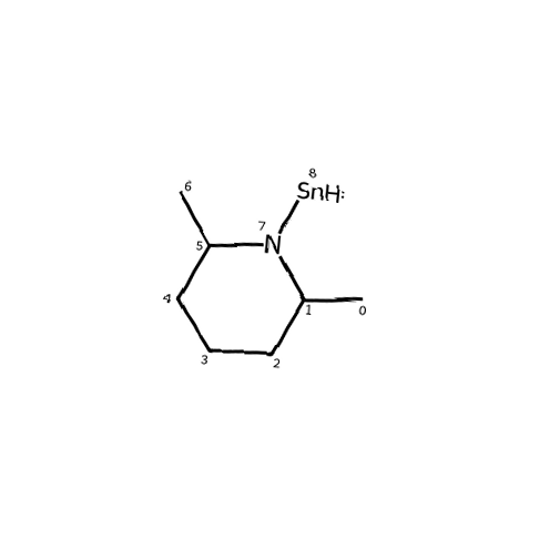 CC1CCCC(C)[N]1[SnH]